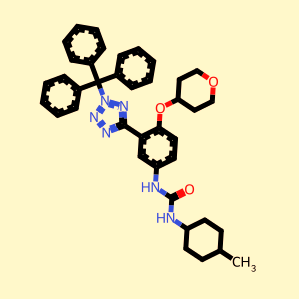 CC1CCC(NC(=O)Nc2ccc(OC3CCOCC3)c(-c3nnn(C(c4ccccc4)(c4ccccc4)c4ccccc4)n3)c2)CC1